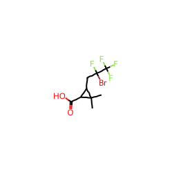 CC1(C)C(CC(F)(Br)C(F)(F)F)C1C(=O)O